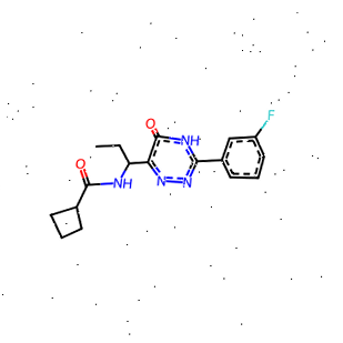 CCC(NC(=O)C1CCC1)c1nnc(-c2cccc(F)c2)[nH]c1=O